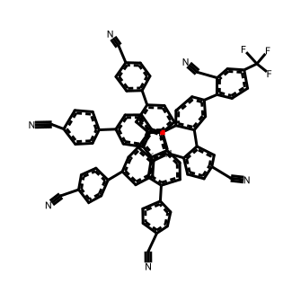 N#Cc1ccc(-c2ccc3c(c2)c2cc(-c4ccc(C#N)cc4)ccc2n3-c2ccc(C#N)cc2-c2cc(-c3ccc(C(F)(F)F)cc3C#N)ccc2-n2c3ccc(-c4ccc(C#N)cc4)cc3c3cc(-c4ccc(C#N)cc4)ccc32)cc1